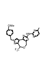 COc1ccc(Cn2cc3c(n2)C(C(F)(F)F)OCc2sc(Nc4nccc(C)n4)nc2-3)cc1